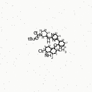 Cc1ccc2c(N)c(Cl)ccc2c1Oc1ncccc1-c1ccnc(NC2CCCN(C(=O)OC(C)(C)C)C2)n1